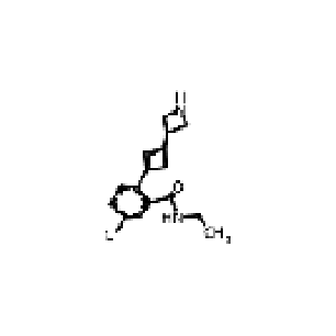 CCNC(=O)c1cc(Cl)ccc1C12CC(C3CNC3)(C1)C2